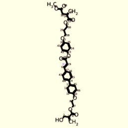 C=C(CO)C(=O)OCCOc1ccc(-c2ccc(/C=C/C(=O)Oc3ccc(OCCCOC(=O)C(=C)CC(=O)OC)cc3)cc2)cc1